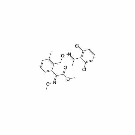 CO/N=C(/C(=O)OC)c1cccc(C)c1CO/N=C(\C)c1c(Cl)cccc1Cl